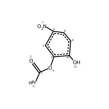 CCCC(=O)Oc1cc([N+](=O)[O-])ccc1O